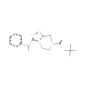 CC(C)(C)OC(=O)N1CCn2c(nnc2C(O)c2ccccc2)C1